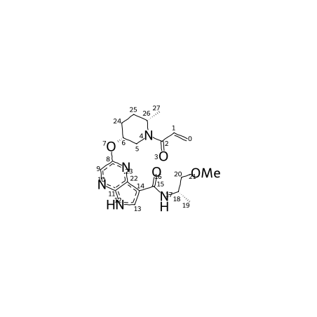 C=CC(=O)N1C[C@H](Oc2cnc3[nH]cc(C(=O)N[C@@H](C)COC)c3n2)CC[C@@H]1C